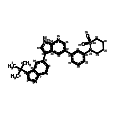 CC(C)(C)n1cnc2ccc(-c3c[nH]c4ncc(-c5cccc(N6CCCCS6(=O)=O)c5)cc34)cc21